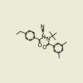 CCc1ccc(C(=O)N(C#N)N(C(=O)c2cc(C)cc(C)c2)C(C)(C)C)cc1